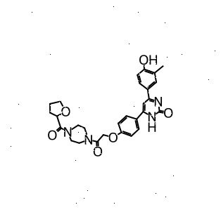 Cc1cc(-c2cc(-c3ccc(OCC(=O)N4CCN(C(=O)C5CCCO5)CC4)cc3)[nH]c(=O)n2)ccc1O